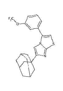 FC(F)(F)Oc1cccc(-c2csc3nc(C45CC6CC(CC(C6)C4)C5)cn23)c1